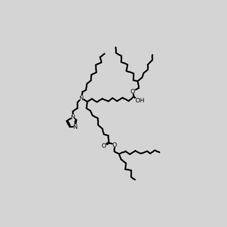 CCCCCCCCCCN(CCCn1ccnc1)C(CCCCCCCCC(=O)OCC(CCCCCC)CCCCCCCC)CCCCCCCCC(O)OCC(CCCCCC)CCCCCCCC